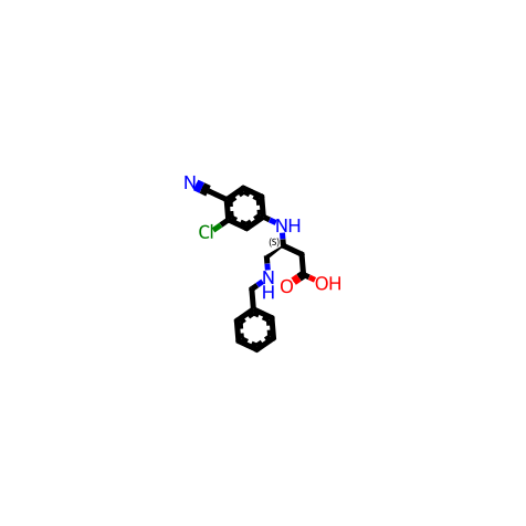 N#Cc1ccc(N[C@H](CNCc2ccccc2)CC(=O)O)cc1Cl